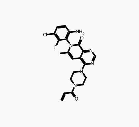 C=CC(=O)N1CCN(c2ncnc3c(=O)n(-c4c(N)ccc(Cl)c4F)c(C)cc23)CC1